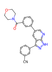 N#Cc1cccc(-c2n[nH]c3ncc(-c4cccc(C(=O)N5CCOCC5)c4)cc23)c1